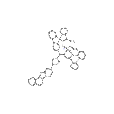 C=C/C=C\C1=C(C)c2ccccc2C12c1ccccc1-c1ccc(N(c3ccc(-c4ccc5c(c4)sc4c6ccccc6ccc54)cc3)c3ccc4c5ccccc5c5ccccc5c4c3)cc12